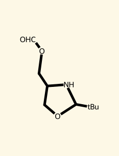 CC(C)(C)C1NC(COC=O)CO1